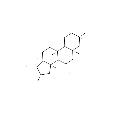 CO[C@@H]1C[C@H]2[C@@H]3[C@@H](O)C[C@H]4C[C@H](O)CC[C@]4(C)[C@H]3CC[C@]2(C)[C@H]1O